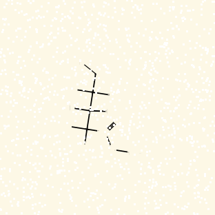 CCCCCCCC[O][Sn](=[O])[C](F)(F)C(F)(F)C(F)(F)CF